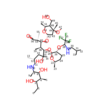 CC[C@@H](O)[C@H](C)[C@H](O)[C@@H](C)NC[C@H](C)CC(C)(O)[C@H](O[C@@H]1O[C@H](C)CC[C@H]1OC(NCC(C)C)C(F)(F)F)[C@@H](C)[C@H](O[C@H]1C[C@@](C)(OC)C(CO)[C@H](C)O1)[C@@H](C)C=O